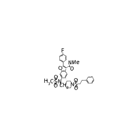 CNC(=O)c1c(-c2ccc(F)cc2)oc2cc(N(C)S(C)(=O)=O)c([C@H]3CCCN(S(=O)(=O)CCc4ccccc4)C3)cc12